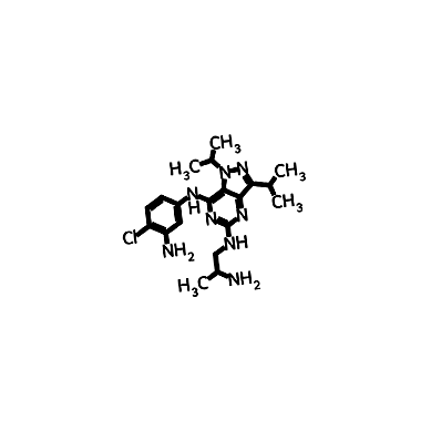 CC(N)CNc1nc(Nc2ccc(Cl)c(N)c2)c2c(n1)c(C(C)C)nn2C(C)C